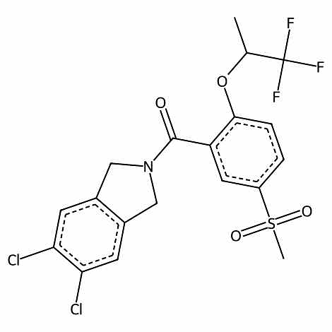 CC(Oc1ccc(S(C)(=O)=O)cc1C(=O)N1Cc2cc(Cl)c(Cl)cc2C1)C(F)(F)F